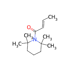 CC=CC(=O)N1C(C)(C)CCCC1(C)C